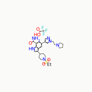 CCS(=O)(=O)N1CCC(c2c[nH]c3c(C(N)=O)cc(-c4cnn(CCN5CCCC5)c4)cc23)CC1.O=C(O)C(F)(F)F